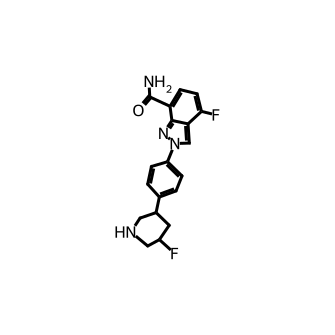 NC(=O)c1ccc(F)c2cn(-c3ccc(C4CNCC(F)C4)cc3)nc12